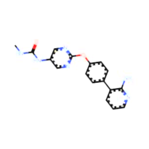 CNC(=O)Nc1cnc(Oc2ccc(-c3cccnc3N)cc2)nc1